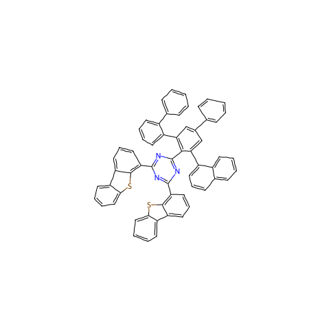 c1ccc(-c2cc(-c3ccccc3-c3ccccc3)c(-c3nc(-c4cccc5c4sc4ccccc45)nc(-c4cccc5c4sc4ccccc45)n3)c(-c3cccc4ccccc34)c2)cc1